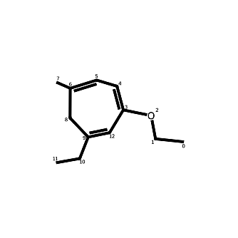 CCOC1=CC=C(C)CC(CC)=C1